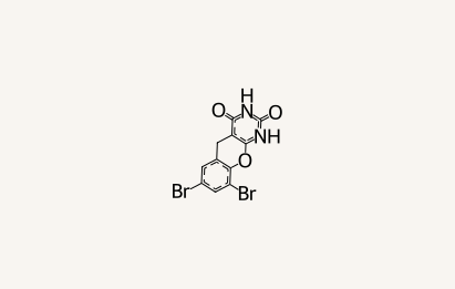 O=c1[nH]c2c(c(=O)[nH]1)Cc1cc(Br)cc(Br)c1O2